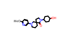 COc1ccc(N2CCCC3(CCN(C4CCC(O)CC4)C3=O)C2)cn1